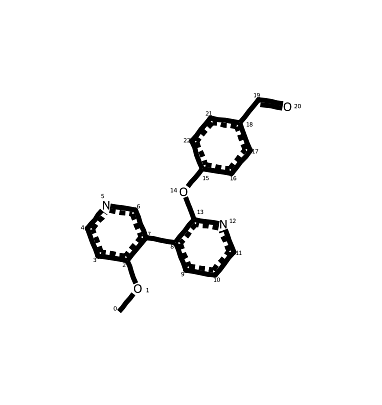 COc1ccncc1-c1cccnc1Oc1ccc(C=O)cc1